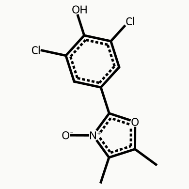 Cc1oc(-c2cc(Cl)c(O)c(Cl)c2)[n+]([O-])c1C